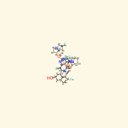 C#Cc1c(F)ccc2cc(O)cc(-c3nc(Br)c4c(N5CC6CCC(C5)N6C(=O)C(F)(F)F)nc(OC[C@]56CCCN5C[C@@H](F)C6)nc4c3F)c12